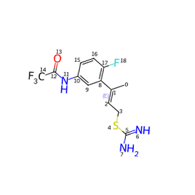 C/C(=C\CSC(=N)N)c1cc(NC(=O)C(F)(F)F)ccc1F